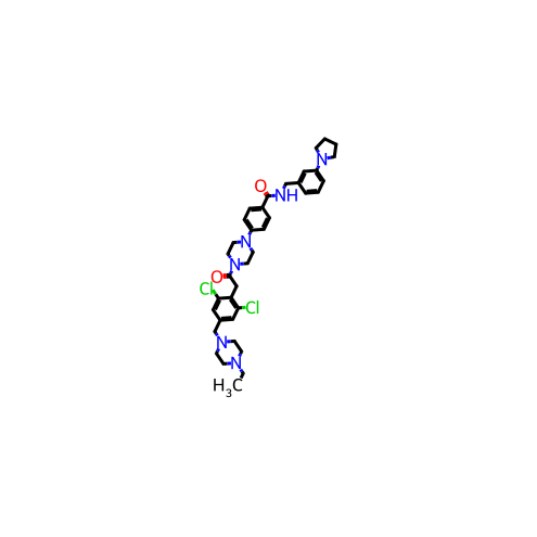 CCN1CCN(Cc2cc(Cl)c(CC(=O)N3CCN(c4ccc(C(=O)NCc5cccc(N6CCCC6)c5)cc4)CC3)c(Cl)c2)CC1